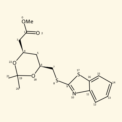 COC(=O)C[C@H]1C[C@@H](CSc2nc3ccccc3s2)OC(C)(C)O1